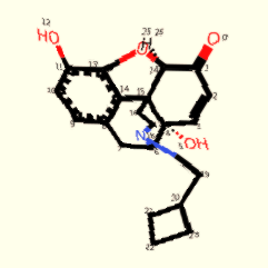 O=C1C=C[C@@]2(O)C3Cc4ccc(O)c5c4C2(CCN3CC2CCC2)[C@H]1O5